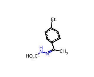 CCc1ccc(/C(C)=N\NC(=O)O)cc1